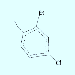 [CH2]Cc1cc(Cl)ccc1C